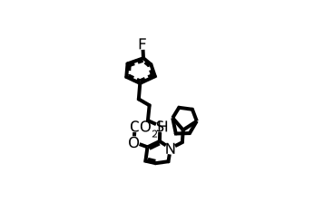 O=C(O)OC1=C(SCCCc2ccc(F)cc2)N(CC2C3CCC2CC3)CC=C1